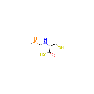 CPCN[C@@H](CS)C(=O)S